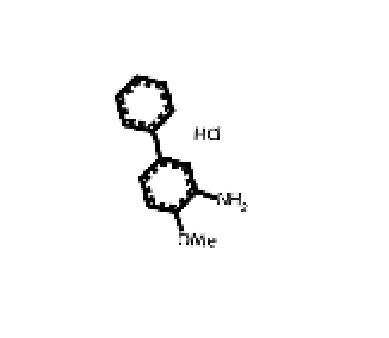 COc1ccc(-c2ccccc2)cc1N.Cl